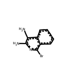 Nc1nc(Br)c2ccccc2c1N